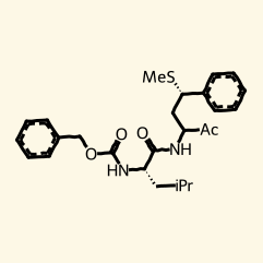 CS[C@@H](CC(NC(=O)[C@H](CC(C)C)NC(=O)OCc1ccccc1)C(C)=O)c1ccccc1